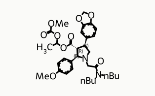 CCCCN(CCCC)C(=O)CN1C[C@H](c2ccc3c(c2)OCO3)[C@@H](C(=O)OC(C)OC(=O)OC)[C@@H]1c1ccc(OC)cc1